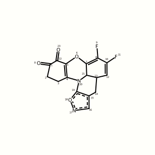 O=C1CCC2=C(OC3=C(F)C(F)=CC4Cc5cnoc5N2C34)C1=O